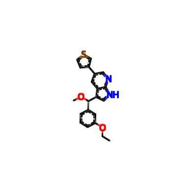 CCOc1cccc(C(OC)c2c[nH]c3ncc(-c4ccsc4)cc23)c1